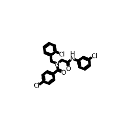 O=C(CN(Cc1ccccc1Cl)C(=O)c1ccc(Cl)cc1)Nc1cccc(Cl)c1